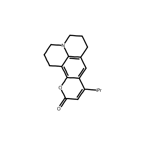 CC(C)c1cc(=O)oc2c3c4c(cc12)CCCN4CCC3